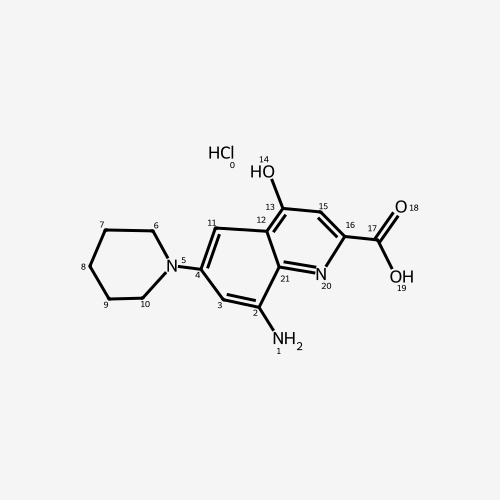 Cl.Nc1cc(N2CCCCC2)cc2c(O)cc(C(=O)O)nc12